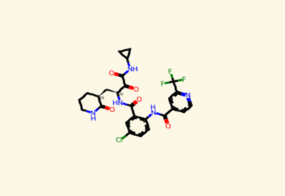 O=C(NC1CC1)C(=O)[C@H](C[C@@H]1CCCNC1=O)NC(=O)c1cc(Cl)ccc1NC(=O)c1ccnc(C(F)(F)F)c1